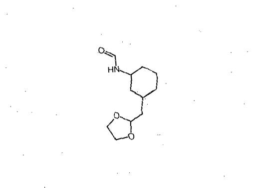 O=CNC1CCCC(CC2OCCO2)C1